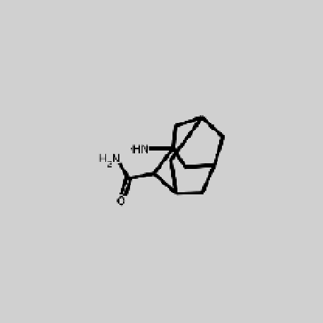 [NH]C12CC3CC(CC(C3)C1C(N)=O)C2